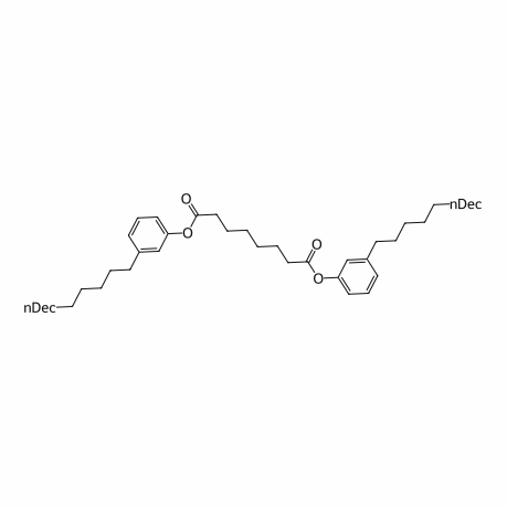 CCCCCCCCCCCCCCCc1cccc(OC(=O)CCCCCCC(=O)Oc2cccc(CCCCCCCCCCCCCCC)c2)c1